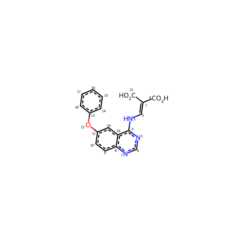 O=C(O)C(=CNc1ncnc2ccc(Oc3ccccc3)cc12)C(=O)O